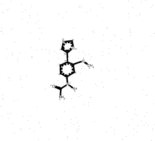 COc1cc(N(S)C(N)=O)ccc1-c1cnco1